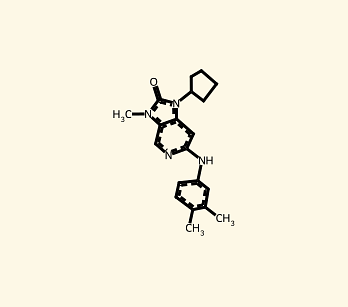 Cc1ccc(Nc2cc3c(cn2)n(C)c(=O)n3C2CCCC2)cc1C